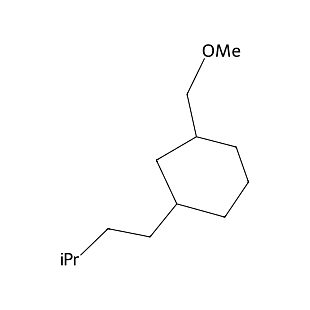 COCC1CCCC(CCC(C)C)C1